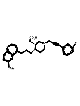 COc1ccc2nccc(CCC[C@@H]3CCN(CC#Cc4cccc(F)c4)C[C@@H]3CC(=O)O)c2c1